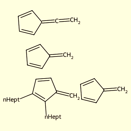 C=C1C=CC(CCCCCCC)=C1CCCCCCC.C=C1C=CC=C1.C=C1C=CC=C1.C=C=C1C=CC=C1